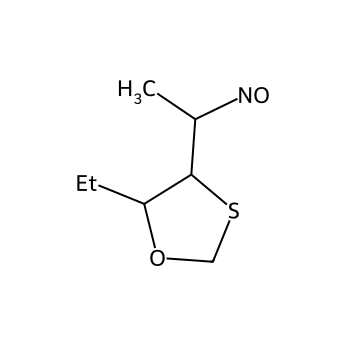 CCC1OCSC1C(C)N=O